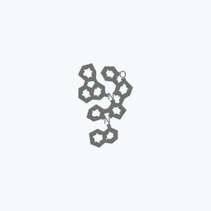 c1ccc2c(c1)-c1cccc3cc(-n4c5c(ccc6oc7ccccc7c65)c5ccc6c(c7ccccc7n6-c6cccc7ccccc67)c54)cc-2c13